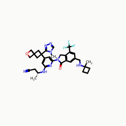 C[C@H](CC#N)Nc1cc(C2(c3nncn3C)CC3(COC3)C2)cc(N2Cc3c(cc(CNC4(C)CCC4)cc3C(F)(F)F)C2=O)n1